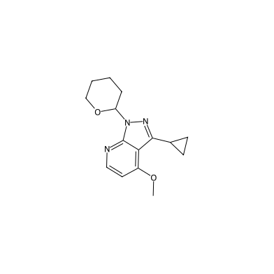 COc1ccnc2c1c(C1CC1)nn2C1CCCCO1